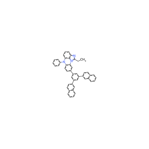 CCc1nc2cccc3c2n1-c1cc(-c2cc(-c4ccc5ccccc5c4)cc(-c4ccc5ccccc5c4)c2)ccc1N3c1ccccc1